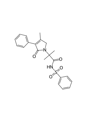 CC1=C(c2ccccc2)C(=O)N(C(C)(C)C(=O)NS(=O)(=O)c2ccccc2)C1